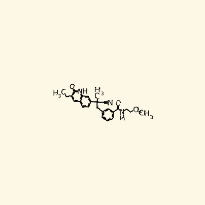 CCc1cc2ccc(C(C)(C#N)Cc3cccc(C(=O)NCCOC)c3)cc2[nH]c1=O